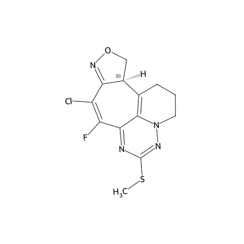 CSC1=NN2CCCC3=C2C(=N1)C(F)=C(Cl)C1=NOC[C@H]13